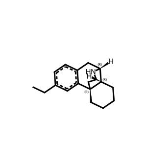 CCc1ccc2c(c1)[C@@]13CCCC[C@H]1[C@@H](C2)NCC3